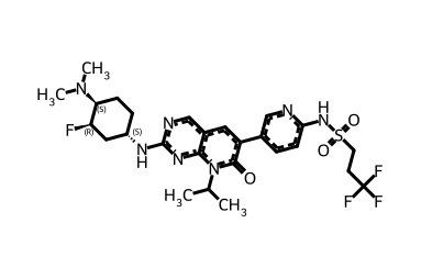 CC(C)n1c(=O)c(-c2ccc(NS(=O)(=O)CCC(F)(F)F)nc2)cc2cnc(N[C@H]3CC[C@H](N(C)C)[C@H](F)C3)nc21